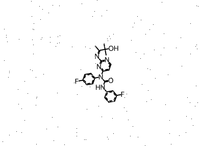 CC(=Nc1nccc(N(C(=O)Nc2cccc(F)c2)c2ccc(F)cc2)n1)C(C)(C)O